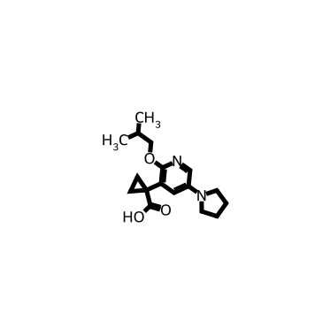 CC(C)COc1ncc(N2CCCC2)cc1C1(C(=O)O)CC1